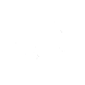 COc1ccc(NC(=O)/C=C/c2c(F)cccc2F)cc1CCCN(C(C)C)C(C)C